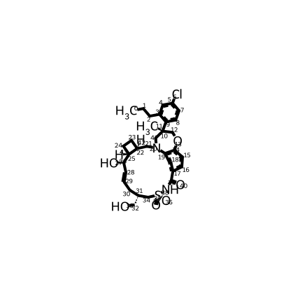 CCCc1cc(Cl)ccc1[C@]1(C)COc2ccc3cc2N(C[C@@H]2CC[C@H]2[C@H](O)/C=C/C[C@@H](CO)CS(=O)(=O)NC3=O)C1